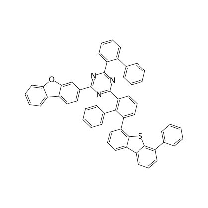 c1ccc(-c2ccccc2-c2nc(-c3ccc4c(c3)oc3ccccc34)nc(-c3cccc(-c4cccc5c4sc4c(-c6ccccc6)cccc45)c3-c3ccccc3)n2)cc1